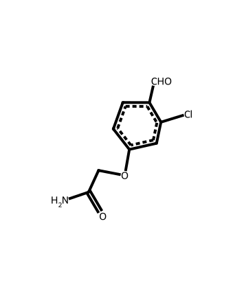 NC(=O)COc1ccc(C=O)c(Cl)c1